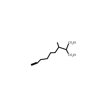 C=CCCCCC(C)C(C(=O)OCC)C(=O)OCC